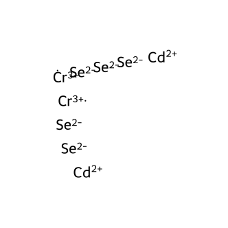 [Cd+2].[Cd+2].[Cr+3].[Cr+3].[Se-2].[Se-2].[Se-2].[Se-2].[Se-2]